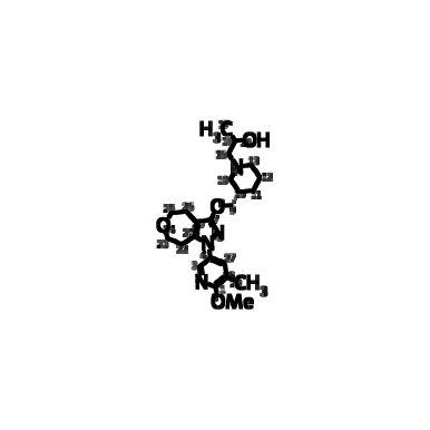 COc1ncc(-n2nc(OC[C@H]3CCCN(CC(C)O)C3)c3c2CCOCC3)cc1C